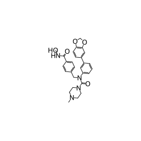 CN1CCN(C(=O)N(Cc2ccc(C(=O)NO)cc2)c2cccc(-c3ccc4c(c3)OCO4)c2)CC1